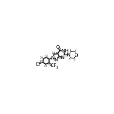 O=c1[nH]c(N2CCOCC2)nc2nn(-c3ccc(Cl)cc3C(F)(F)F)cc12